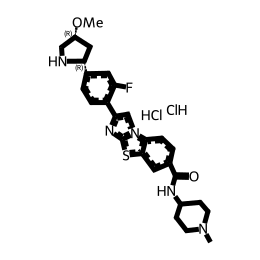 CO[C@H]1CN[C@@H](c2ccc(-c3cn4c(n3)sc3cc(C(=O)NC5CCN(C)CC5)ccc34)c(F)c2)C1.Cl.Cl